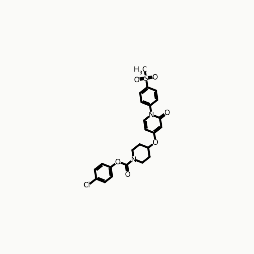 CS(=O)(=O)c1ccc(-n2ccc(OC3CCN(C(=O)Oc4ccc(Cl)cc4)CC3)cc2=O)cc1